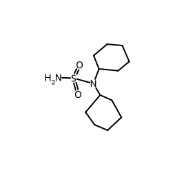 NS(=O)(=O)N(C1CCCCC1)C1CCCCC1